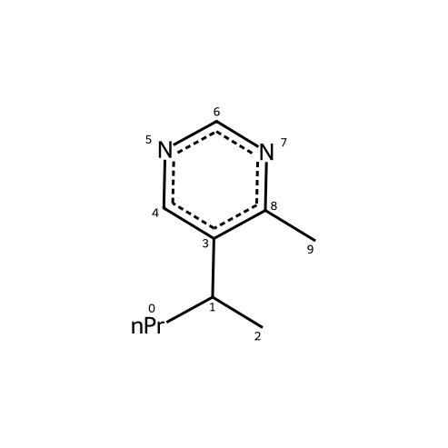 CCCC(C)c1cncnc1C